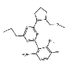 CCCc1cc(N2CCCC2COC)nc(-c2c(N)ccc(C)c2N)n1